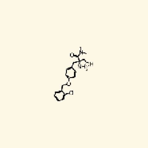 CN(C)C(=O)C(N)(CO)Cc1ccc(OCc2ccccc2Cl)cc1